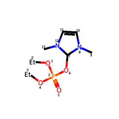 CCOP(=O)(OCC)OC1N(C)C=CN1C